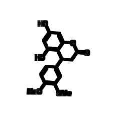 COc1ccc(C2CC(=O)Oc3cc(O)cc(O)c32)cc1OC